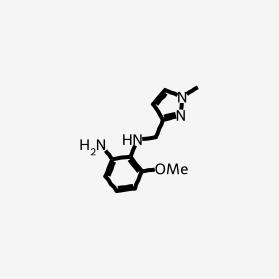 COc1cccc(N)c1NCc1ccn(C)n1